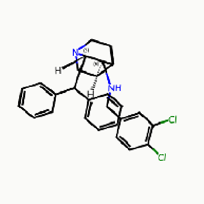 Clc1ccc(CN[C@@H]2C3CCN(CC3)[C@H]2C(c2ccccc2)c2ccccc2)cc1Cl